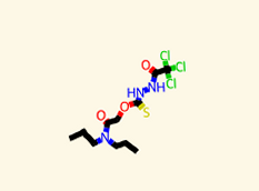 CCCN(CCC)C(=O)COC(=S)NNC(=O)C(Cl)(Cl)Cl